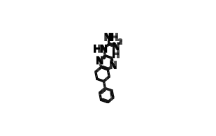 N=C(N)Nc1cnc2c(n1)CCC(c1ccccc1)C2